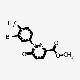 COC(=O)c1ccc(=O)n(-c2ccc(C)c(Br)c2)n1